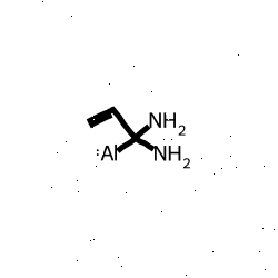 C=C[C](N)(N)[Al]